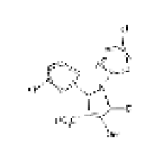 O=C(O)C1=C(O)C(=O)N(c2ccc(Cl)cn2)C1c1cccc(Cl)c1